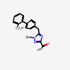 CCCC(=O)c1nc(Cc2ccc(-c3ccccc3C(=O)O)cc2)n(C(C)CC)n1